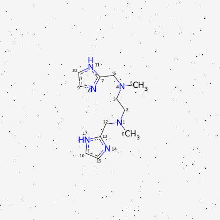 CN(CCN(C)Cc1ncc[nH]1)Cc1ncc[nH]1